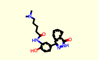 CN(C)CCCCC(=O)Nc1cc(-c2n[nH]c(=O)c3ccccc23)ccc1O